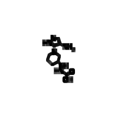 Nc1cn[nH]c1N1CCCC(NNC(=O)O)C1